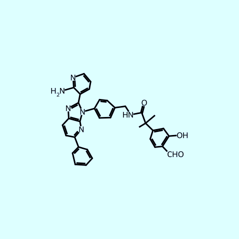 CC(C)(C(=O)NCc1ccc(-n2c(-c3cccnc3N)nc3ccc(-c4ccccc4)nc32)cc1)c1ccc(C=O)c(O)c1